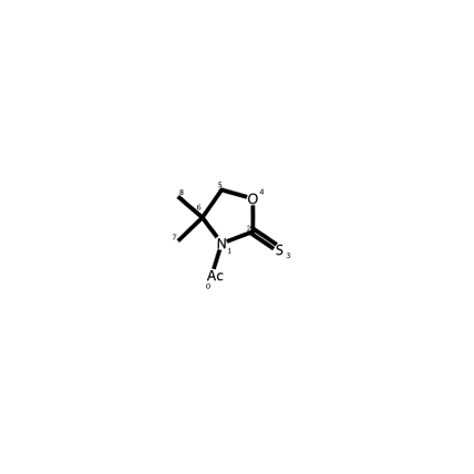 CC(=O)N1C(=S)OCC1(C)C